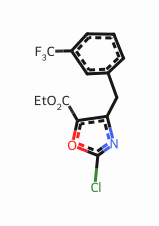 CCOC(=O)c1oc(Cl)nc1Cc1cccc(C(F)(F)F)c1